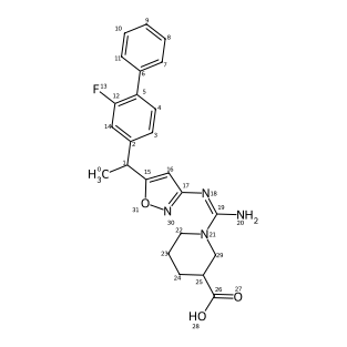 CC(c1ccc(-c2ccccc2)c(F)c1)c1cc(/N=C(/N)N2CCCC(C(=O)O)C2)no1